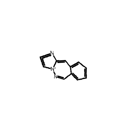 C1=C[N+]2N=Cc3ccccc3C=C2N=1